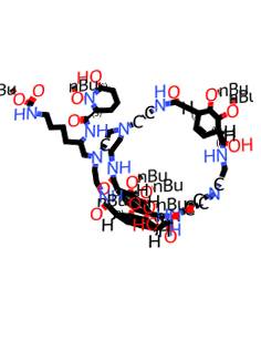 CCCCOC1C(OCCCC)[C@H]2C=C[C@@H]1C(=O)NCCN1CCNC(=O)C3C=CC([C@@H](OCCCC)[C@H]3OCCCC)[C@@H](O)NCCN(CCNC(=O)[C@H]3C=C[C@@H](C(=O)NCCN(CC(CCCCNC(=O)OC(C)(C)C)NC(=O)[C@@H]4CCC[C@H](O)N4OCCCC)CC1)C(OCCCC)C3OCCCC)CCN[C@@H]2O